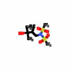 CC(CN(S(=O)(=O)C(F)(F)F)S(=O)(=O)C(F)(F)F)C(C)(C)O